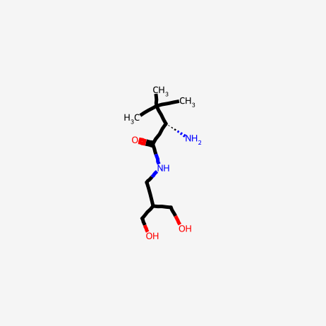 CC(C)(C)[C@H](N)C(=O)NCC(CO)CO